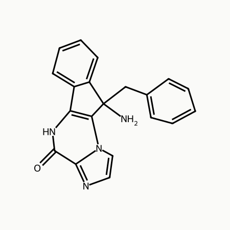 NC1(Cc2ccccc2)c2ccccc2-c2[nH]c(=O)c3nccn3c21